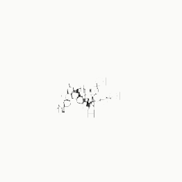 C=c1ccc2c(c1)Oc1cc(N(CC)CC)ccc1C=2c1ccc(S(=O)(=O)NC(CCOCCO)CCOCCO)cc1S(=O)(=O)O